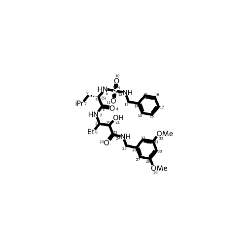 CCC(NC(=O)[C@H](CC(C)C)NS(=O)(=O)NCc1ccccc1)C(O)C(=O)NCc1cc(OC)cc(OC)c1